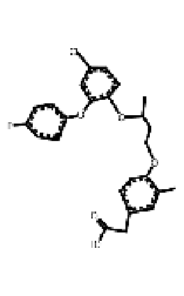 Cc1cc(CC(=O)O)ccc1OCCC(C)Oc1ccc(Cl)cc1Oc1ccc(F)cc1